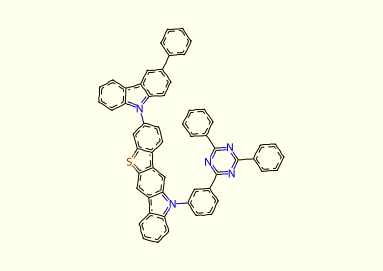 c1ccc(-c2ccc3c(c2)c2ccccc2n3-c2ccc3c(c2)sc2cc4c5ccccc5n(-c5cccc(-c6nc(-c7ccccc7)nc(-c7ccccc7)n6)c5)c4cc23)cc1